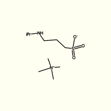 CC(C)NCCCS(=O)(=O)[O-].C[N+](C)(C)C